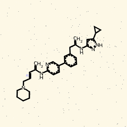 C=C(/C=C/CN1CCCCC1)Nc1ccc(-c2cccc(CC(=C)Nc3cc(C4CC4)[nH]n3)c2)cn1